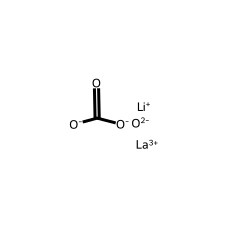 O=C([O-])[O-].[La+3].[Li+].[O-2]